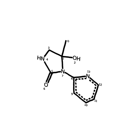 CC1(O)CNC(=O)N1c1ccccn1